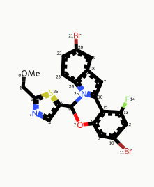 COCc1ncc(C2Oc3cc(Br)cc(F)c3-c3cc4cc(Br)ccc4n32)s1